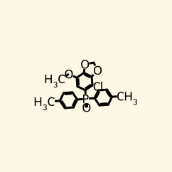 COc1cc(P(=O)(c2ccc(C)cc2)c2ccc(C)cc2)c(Cl)c2c1OCO2